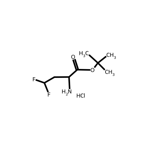 CC(C)(C)OC(=O)C(N)CC(F)F.Cl